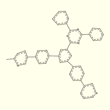 Cc1ccc(-c2ccc(-c3cc(-c4ccc(-c5cccnc5)cc4)cc(-c4nc(-c5ccccc5)nc(-c5ccccc5)n4)c3)cc2)cn1